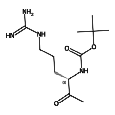 CC(=O)[C@H](CCCNC(=N)N)NC(=O)OC(C)(C)C